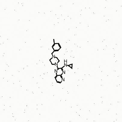 Cc1cccc(CN2CCN(c3nc4cccnc4nc3NC3CC3)CC2)c1